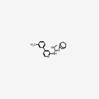 Cc1cccc(-c2ccnc(NN3NC[C@]4(CC5CCC4CC5)O3)c2)c1